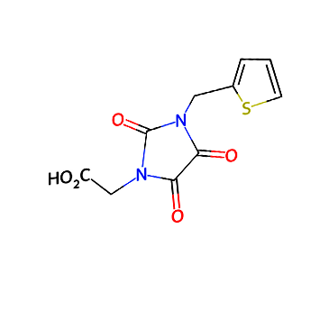 O=C(O)CN1C(=O)C(=O)N(Cc2cccs2)C1=O